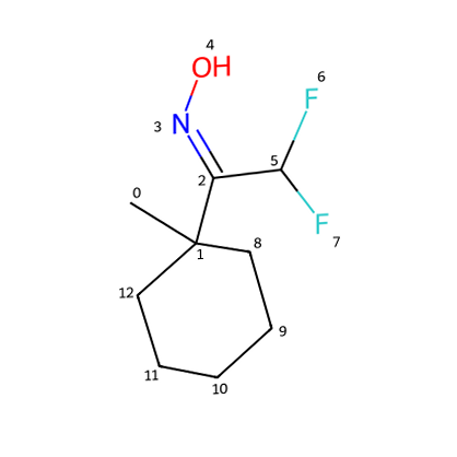 CC1(C(=NO)C(F)F)CCCCC1